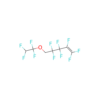 FC(F)=C(F)C(F)(F)C(F)(F)COC(F)(F)C(F)F